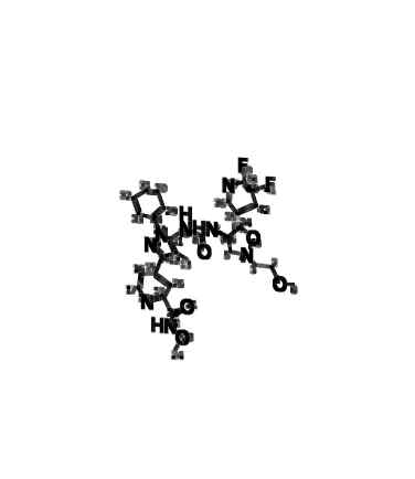 COCCN1C[C@@H](NC(=O)Nc2c(C)c(-c3ccnc(C(=O)NOC)c3)nn2-c2ccccc2)[C@H](c2cnc(F)c(F)c2)O1